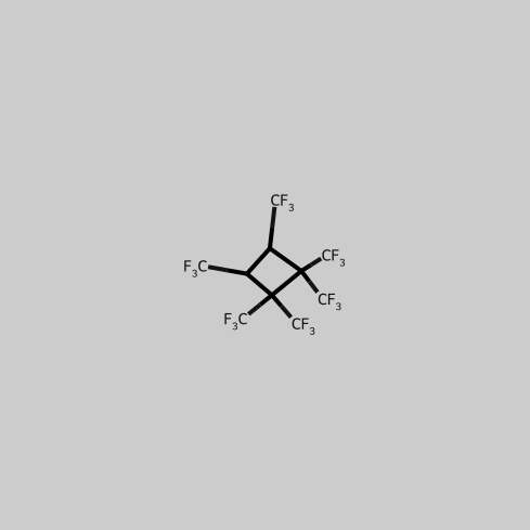 FC(F)(F)C1C(C(F)(F)F)C(C(F)(F)F)(C(F)(F)F)C1(C(F)(F)F)C(F)(F)F